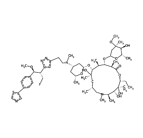 CC[C@H]1OC(=O)[C@H](C)[C@@H](OC2C[C@@](C)(OC)[C@@H](O)[C@H](C)O2)[C@H](C)[C@@H](O[C@H]2C[C@@H](N(C)CCc3cn([C@H](CF)[C@H](OC)c4ccc(-c5cncs5)cc4)nn3)C[C@@H](C)O2)[C@](C)(O)C[C@@H](C)CN(C)[C@H](C)[C@@H](O)[C@]1(C)O